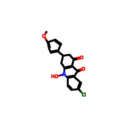 COc1ccc(C2CC(=O)c3c(n(O)c4ccc(Cl)cc4c3=O)C2)cc1